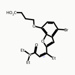 CC/C(=C/C(=O)N(CC)CC)c1cc2c(Br)ccc(OCCCC(=O)O)c2o1